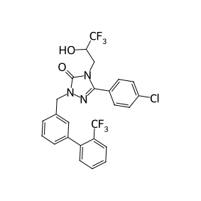 O=c1n(Cc2cccc(-c3ccccc3C(F)(F)F)c2)nc(-c2ccc(Cl)cc2)n1CC(O)C(F)(F)F